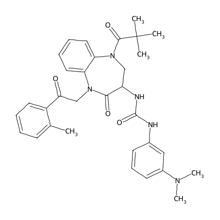 Cc1ccccc1C(=O)CN1C(=O)C(NC(=O)Nc2cccc(N(C)C)c2)CN(C(=O)C(C)(C)C)c2ccccc21